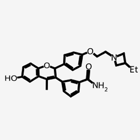 CCC1CN(CCOc2ccc(C3Oc4ccc(O)cc4C(C)=C3c3cccc(C(N)=O)c3)cc2)C1